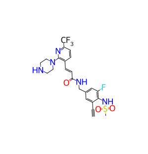 C#Cc1cc(CNC(=O)C=Cc2ccc(C(F)(F)F)nc2N2CCNCC2)cc(F)c1NS(C)(=O)=O